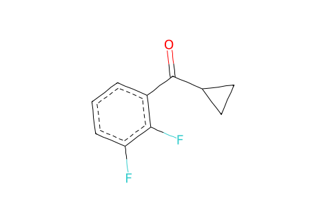 O=C(c1cccc(F)c1F)C1CC1